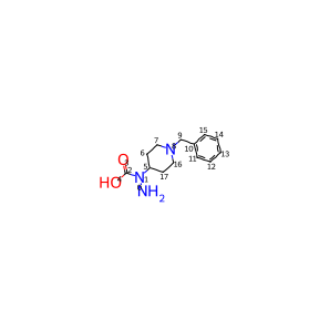 NN(C(=O)O)C1CCN(Cc2ccccc2)CC1